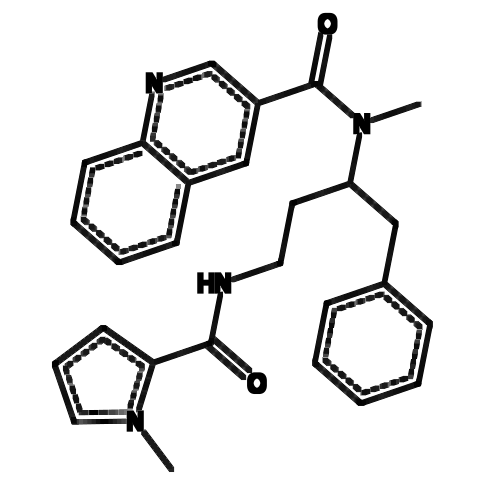 CN(C(=O)c1cnc2ccccc2c1)C(CCNC(=O)c1cccn1C)Cc1ccccc1